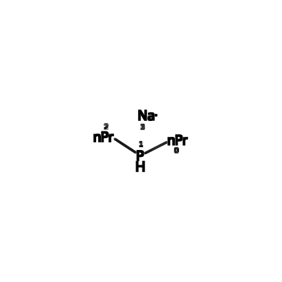 CCCPCCC.[Na]